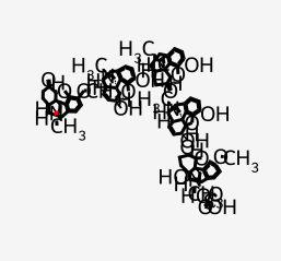 CN1CC[C@]23c4c5ccc(O)c4O[C@H]2C(=O)CC[C@H]3[C@H]1C5.CN1CC[C@]23c4c5ccc(O)c4O[C@H]2[C@@H](O)C=C[C@H]3[C@H]1C5.CN1CC[C@]23c4c5ccc(O)c4O[C@H]2[C@@H](O)C=C[C@H]3[C@H]1C5.COc1ccc2c3c1O[C@H]1C(=O)CC[C@@]4(O)[C@@H](C2)N(C)CC[C@]314.COc1ccc2c3c1O[C@H]1C(=O)CC[C@H]4[C@@H](C2)N(C)CC[C@]314.O=S(=O)(O)O